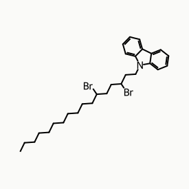 CCCCCCCCCCCC(Br)CCC(Br)CCn1c2ccccc2c2ccccc21